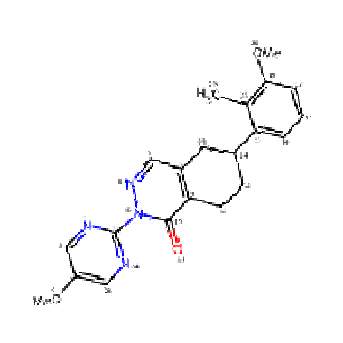 COc1cnc(-n2ncc3c(c2=O)CCC(c2cccc(OC)c2C)C3)nc1